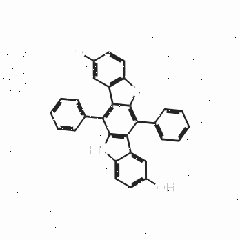 Oc1ccc2[nH]c3c(-c4ccccc4)c4c([nH]c5ccc(O)cc54)c(-c4ccccc4)c3c2c1